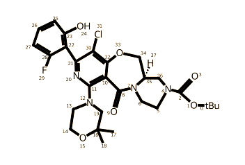 CC(C)(C)OC(=O)N1CCN2C(=O)c3c(N4CCOC(C)(C)C4)nc(-c4c(O)cccc4F)c(Cl)c3OC[C@H]2C1